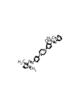 Cn1cc[n+](C)c1/N=N/c1ccc(N2CCN(c3ccc(/N=N/c4cccc[n+]4C)c(O)c3)CC2)cc1